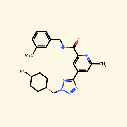 COc1cccc(CNC(=O)c2cc(-c3nnn(C[C@H]4CC[C@H](C#N)CC4)n3)cc(C)n2)c1